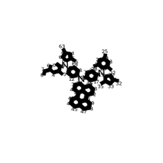 C=C(/C(C)=C\C(C)=C/C)N(c1ccc(N(c2ccc(N(c3c(C)cc(C)cc3C)C3C=C(C)C=C3C)cc2)c2ccc3c4cccc5cccc(c6cccc2c63)c54)cc1)C1C=C(C)C=C1C